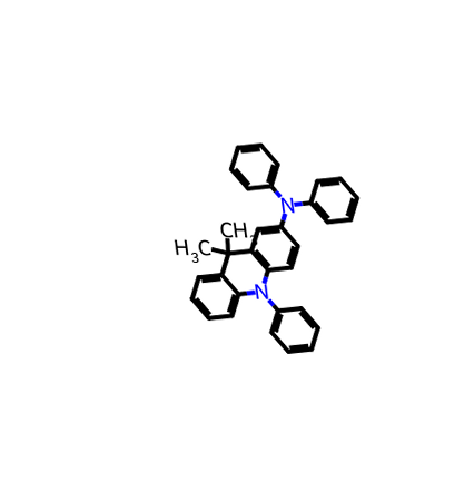 CC1(C)c2ccccc2N(c2ccccc2)c2ccc(N(c3ccccc3)c3ccccc3)cc21